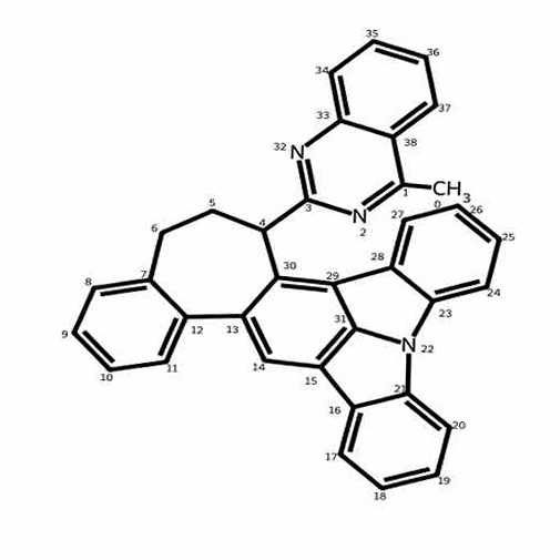 Cc1nc(C2CCc3ccccc3-c3cc4c5ccccc5n5c6ccccc6c(c32)c45)nc2ccccc12